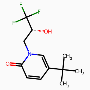 CC(C)(C)c1ccc(=O)n(C[C@@H](O)C(F)(F)F)c1